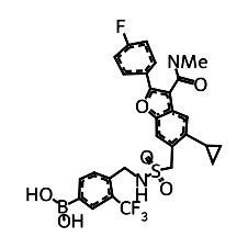 CNC(=O)c1c(-c2ccc(F)cc2)oc2cc(CS(=O)(=O)NCc3ccc(B(O)O)cc3C(F)(F)F)c(C3CC3)cc12